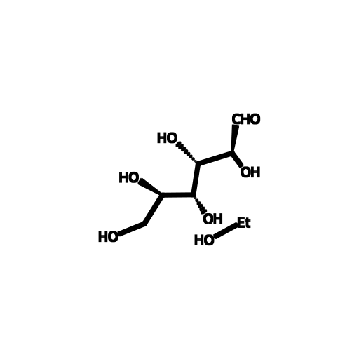 CCO.O=C[C@@H](O)[C@@H](O)[C@H](O)[C@H](O)CO